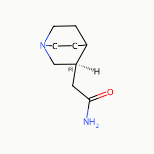 NC(=O)C[C@H]1CN2CCC1CC2